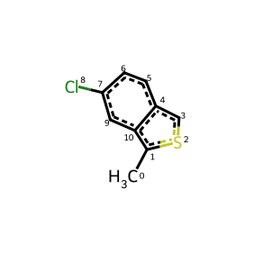 Cc1scc2ccc(Cl)cc12